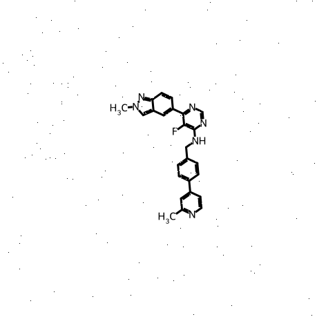 Cc1cc(-c2ccc(CNc3ncnc(-c4ccc5nn(C)cc5c4)c3F)cc2)ccn1